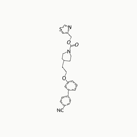 N#Cc1ccc(-c2cccc(OCCC3CCN(C(=O)OCc4cscn4)CC3)c2)cc1